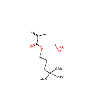 C=C(C)C(=O)OCCC[Si](OC)(OC)OC.CO.O